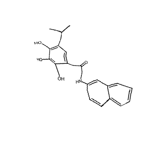 CC(C)c1cc(C(=O)Nc2ccc3ccccc3c2)c(O)c(O)c1O